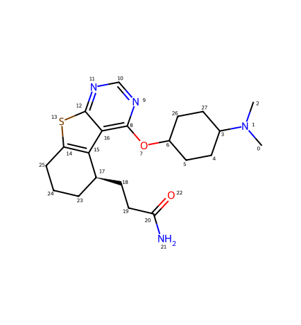 CN(C)C1CCC(Oc2ncnc3sc4c(c23)[C@@H](CCC(N)=O)CCC4)CC1